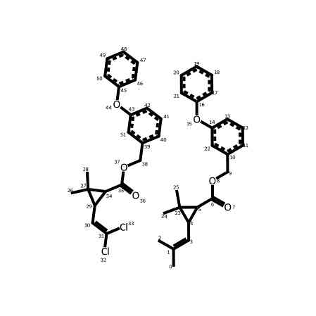 CC(C)=CC1C(C(=O)OCc2cccc(Oc3ccccc3)c2)C1(C)C.CC1(C)C(C=C(Cl)Cl)C1C(=O)OCc1cccc(Oc2ccccc2)c1